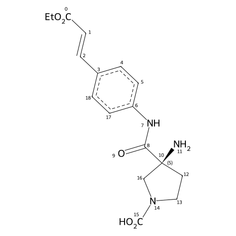 CCOC(=O)C=Cc1ccc(NC(=O)[C@]2(N)CCN(C(=O)O)C2)cc1